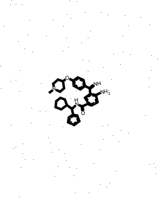 CN1CCC(Oc2ccc(C(=N)c3cc(C(=O)NC(c4ccccc4)C4CCCCC4)ccc3N)cc2)CC1